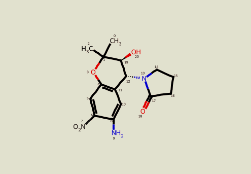 CC1(C)Oc2cc([N+](=O)[O-])c(N)cc2[C@@H](N2CCCC2=O)[C@@H]1O